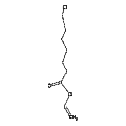 C=COC(=O)CCCCCCCl